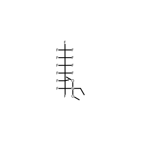 CC[Si](OC)(OC)C(F)(F)C(F)(F)C(F)(F)C(F)(F)C(F)(F)C(F)(F)F